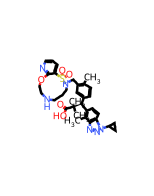 Cc1ccc([C@@H](c2ccc3c(nnn3C3CC3)c2C)C(C)(C)C(=O)O)cc1CN1CCCNCCOc2ncccc2S1(=O)=O